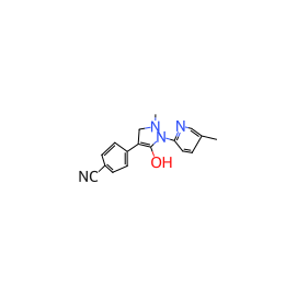 Cc1ccc(N2C(O)=C(c3ccc(C#N)cc3)CN2C)nc1